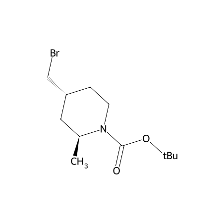 C[C@H]1C[C@H](CBr)CCN1C(=O)OC(C)(C)C